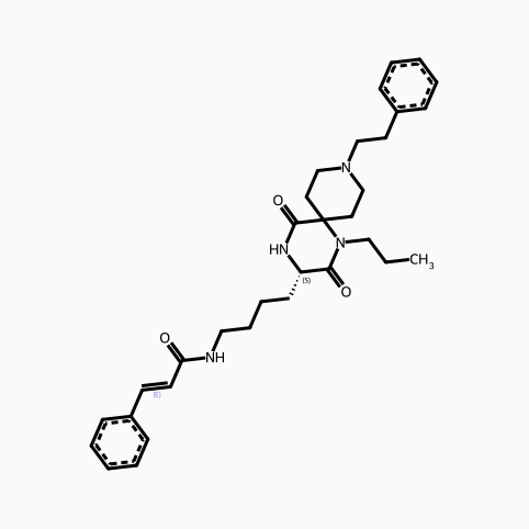 CCCN1C(=O)[C@H](CCCCNC(=O)/C=C/c2ccccc2)NC(=O)C12CCN(CCc1ccccc1)CC2